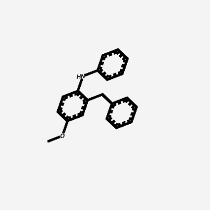 COc1ccc(Nc2ccccc2)c(Cc2ccccc2)c1